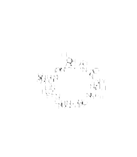 CCCCN1CC(=O)N(C)[C@@H](C(C)C)C(=O)N[C@H](C(=O)N2CCCCC2)CC(=O)N(C)[C@@H](CC)C(O)NC(CCC(=O)NS(C)(=O)=O)C(=O)N(C)[C@@H](CC(C)C)C(=O)N(C)[C@@H](Cc2cccc(Cl)c2)C(=O)N[C@@H](CC(C)C)C(=O)N(C)[C@@H](Cc2ccccc2)C(=O)N(C)[C@@H](CC(C)C)C(=O)N[C@@H]([C@@H](C)O)C1=O